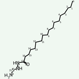 CCCCCCCCCCCCCCCCCC(=O)NNSN